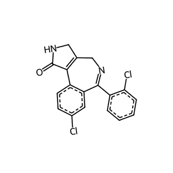 O=C1NCC2=C1c1ccc(Cl)cc1C(c1ccccc1Cl)=NC2